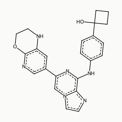 OC1(c2ccc(Nc3nc(-c4cnc5c(c4)NCCO5)cn4ccnc34)cc2)CCC1